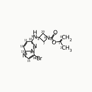 C=C(C)OC(=O)N1CC(Nc2ccc3ncc(Br)n3n2)C1